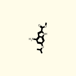 COC(=O)c1cc2c(N)cc(OC(C)C)cc2[nH]1